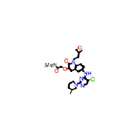 CNC(=O)COc1cc2cc(Nc3nc(N4CCC[C@H](C)C4)ncc3Cl)ccc2n(CCC2COC2)c1=O